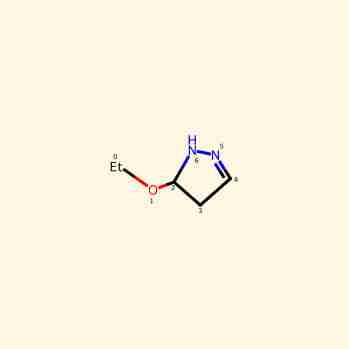 CCOC1CC=NN1